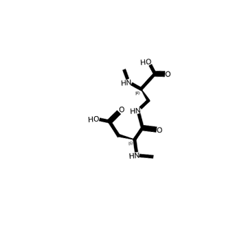 CN[C@@H](CC(=O)O)C(=O)NC[C@@H](NC)C(=O)O